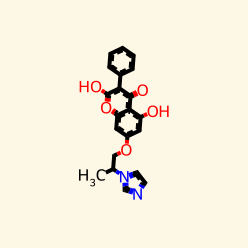 CC(COc1cc(O)c2c(=O)c(-c3ccccc3)c(O)oc2c1)n1ccnc1